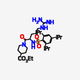 CCOC(=O)C1CCN(C(=O)C(CCCNC(=N)N)NS(=O)(=O)c2c(C(C)C)cc(C(C)C)cc2C(C)C)CC1